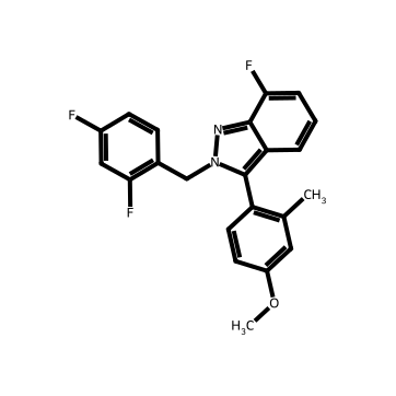 COc1ccc(-c2c3cccc(F)c3nn2Cc2ccc(F)cc2F)c(C)c1